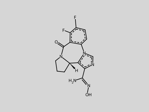 N/C(=N\O)c1ncn2c1[C@@H]1CCCN1C(=O)c1c-2ccc(F)c1F